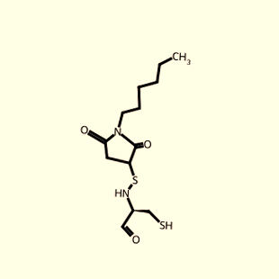 CCCCCCN1C(=O)CC(SN[C@H](C=O)CS)C1=O